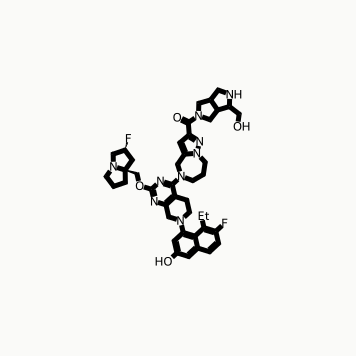 CCc1c(F)ccc2cc(O)cc(N3CCc4c(nc(OC[C@@]56CCCN5C[C@H](F)C6)nc4N4CCCn5nc(C(=O)N6CC7CNC(CO)C7C6)cc5C4)C3)c12